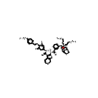 COCCN(CCOC)C(=O)N1C2CCC1CN(Cc1cccc(C(=O)Nc3sc4c(c3C(=O)Nc3cc(F)c(CCc5ccc(C(=O)O)cc5)c(F)c3)CCCC4)c1)C2